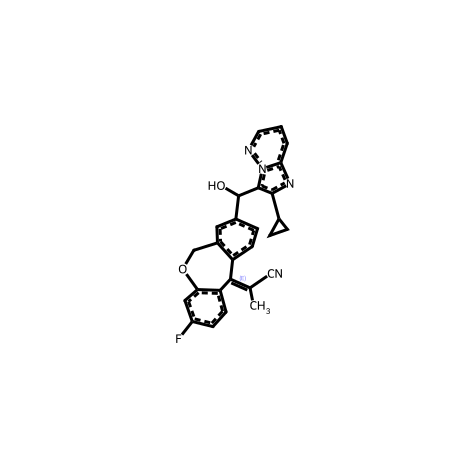 C/C(C#N)=C1/c2ccc(C(O)c3c(C4CC4)nc4cccnn34)cc2COc2cc(F)ccc21